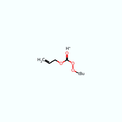 C=CCOC(=O)OOC(C)(C)C.[H+]